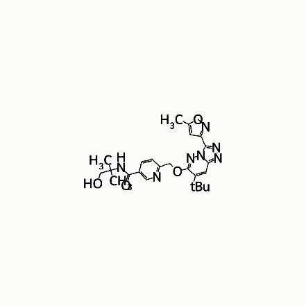 Cc1cc(-c2nnc3cc(C(C)(C)C)c(OCc4ccc(C(=O)NC(C)(C)CO)cn4)nn23)no1